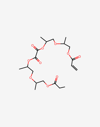 C=CC(=O)OCC(C)OCC(C)OC(=O)C(=O)OC(C)COC(C)COC(=O)CC